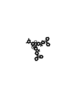 Cc1cc(C)cc(-c2cc3c4c(c2)Oc2cc5c(cc2B4c2cc4c(cc2O3)-c2ccc(N(c3ccccc3)c3ccccc3)cc2C4(C)C)C(C)(C)c2cc(N(c3ccccc3)c3ccccc3)ccc2-5)c1